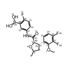 COc1c([C@@H]2CC(C)O[C@H]2C(=O)Nc2ccc(F)c(B(O)O)c2)ccc(F)c1F